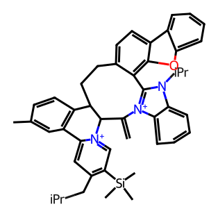 C=C1C2C(CCc3ccc4c(oc5ccccc54)c3-c3n(C(C)C)c4ccccc4[n+]31)c1ccc(C)cc1-c1cc(CC(C)C)c([Si](C)(C)C)c[n+]12